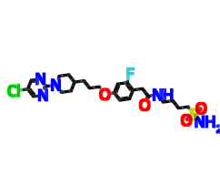 NS(=O)(=O)CCCCNC(=O)Cc1ccc(OCCCC2CCN(c3ncc(Cl)cn3)CC2)cc1F